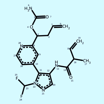 C=CCC(OC(N)=O)c1cc(-c2c(NC(=O)C(C)C=C)cnn2C(F)F)ccn1